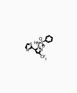 O=S(=O)(Nn1nc(C(F)(F)F)cc1-c1nccs1)c1ccccc1